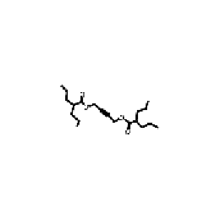 CCCC(CCC)C(=O)OCC#CCOC(=O)C(CCC)CCC